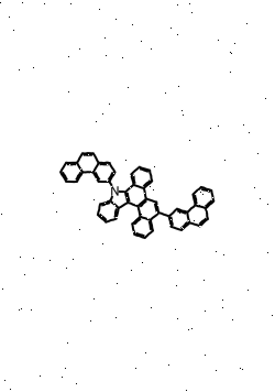 c1ccc2c(c1)ccc1ccc(-c3cc4c5ccccc5c5c(c6ccccc6n5-c5ccc6ccc7ccccc7c6c5)c4c4ccccc34)cc12